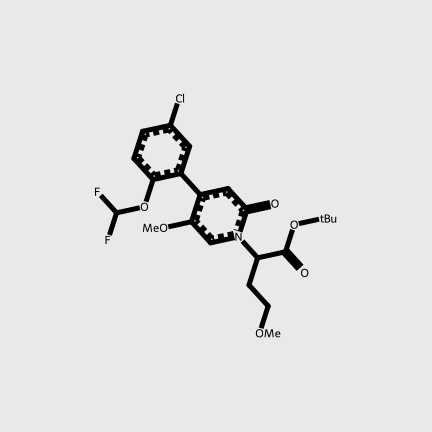 COCCC(C(=O)OC(C)(C)C)n1cc(OC)c(-c2cc(Cl)ccc2OC(F)F)cc1=O